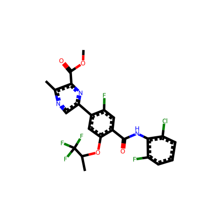 COC(=O)c1nc(-c2cc(OC(C)C(F)(F)F)c(C(=O)Nc3c(F)cccc3Cl)cc2F)cnc1C